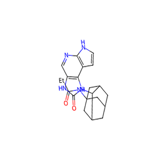 CCC(=O)NC12CC3CC(C1)C(n1c(=O)[nH]c4cnc5[nH]ccc5c41)C(C3)C2